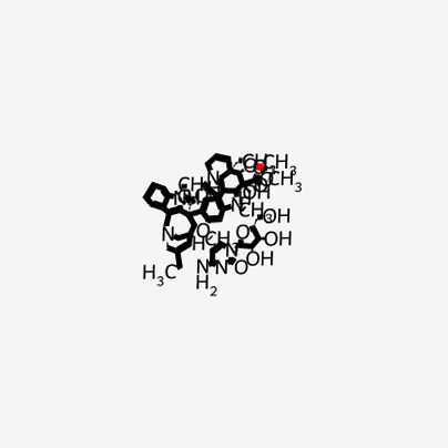 CCC1=C[C@@H]2C[N@](C1)Cc1c([nH]c3ccccc13)[C@@](C(=O)OC)(c1cc3c(cc1OC)N(C)[C@H]1[C@@](O)(C(=O)OC)[C@H](OC(C)=O)[C@]4(CC)C=CCN5CC[C@]31[C@@H]54)C2.Nc1ccn([C@@H]2O[C@H](CO)[C@@H](O)[C@@H]2O)c(=O)n1